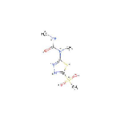 CNC(=O)N(C)c1nnc(S(C)(=O)=O)s1